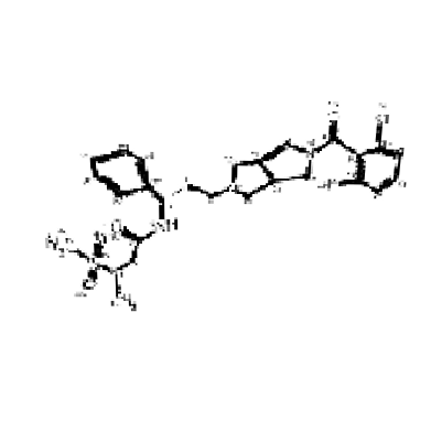 CN(CC(=O)N[C@@H](CCN1CC2=CN(C(=O)c3c(F)cccc3Cl)CC2C1)c1ccccc1)S(C)(=O)=O